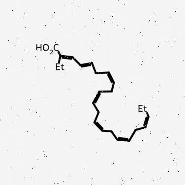 CC/C=C\C/C=C\C/C=C\C/C=C\C/C=C\C/C=C/C=C(\CC)C(=O)O